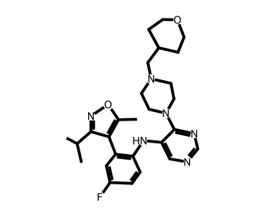 Cc1onc(C(C)C)c1-c1cc(F)ccc1Nc1cncnc1N1CCN(CC2CCOCC2)CC1